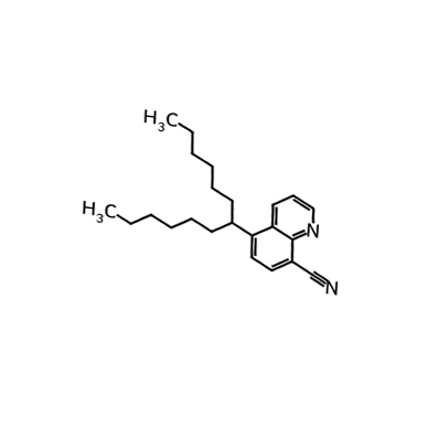 CCCCCCC(CCCCCC)c1ccc(C#N)c2ncccc12